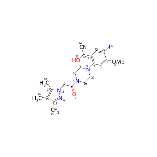 COc1cc(N2CCN(C(=O)Cn3nc(C(F)(F)F)c(C)c3C)CC2)c(C(O)C#N)cc1I